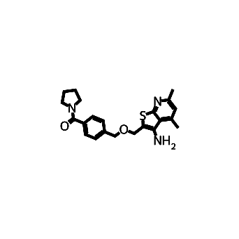 Cc1cc(C)c2c(N)c(COCc3ccc(C(=O)N4CCCC4)cc3)sc2n1